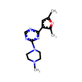 Cc1cc(-c2ncnc(N3CCN(C)CC3)n2)c(C(F)(F)F)o1